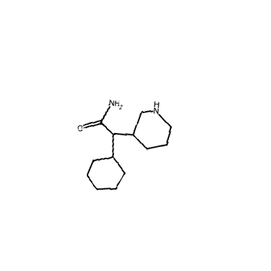 NC(=O)C(C1CCCCC1)C1CCCNC1